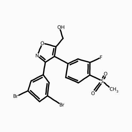 CS(=O)(=O)c1ccc(-c2c(-c3cc(Br)cc(Br)c3)noc2CO)cc1F